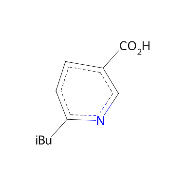 CCC(C)c1ccc(C(=O)O)cn1